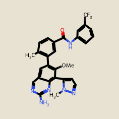 COc1c(-c2cc(C(=O)Nc3cccc(C(F)(F)F)c3)ccc2C)cc2cnc(N)nc2c1-c1ccnn1C